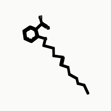 CCCCCCC=CCCCOc1ccccc1C(=O)Cl